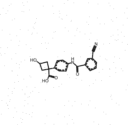 N#Cc1cccc(C(=O)Nc2ccc(C3(C(=O)O)CC(O)C3)cc2)c1